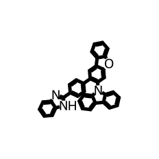 c1ccc2[nH]c(-c3ccc(-c4cc5c(cc4-n4c6ccccc6c6ccccc64)oc4ccccc45)cc3)nc2c1